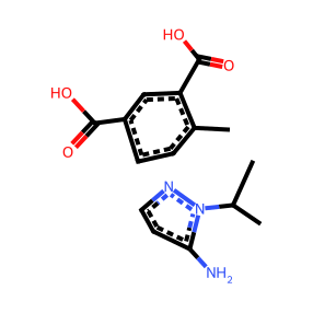 CC(C)n1nccc1N.Cc1ccc(C(=O)O)cc1C(=O)O